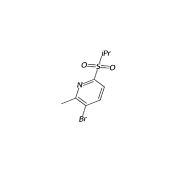 Cc1nc(S(=O)(=O)C(C)C)ccc1Br